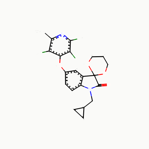 COc1nc(F)c(F)c(Oc2ccc3c(c2)C2(OCCCO2)C(=O)N3CC2CC2)c1F